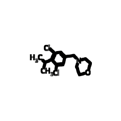 CC(C)c1c(Cl)cc(CN2CCOCC2)cc1Cl